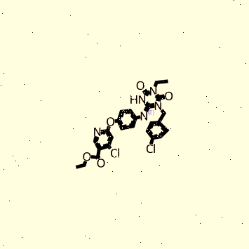 CCOC(=O)c1cnc(Oc2ccc(/N=c3\[nH]c(=O)n(CC)c(=O)n3Cc3ccc(Cl)cc3)cc2)cc1Cl